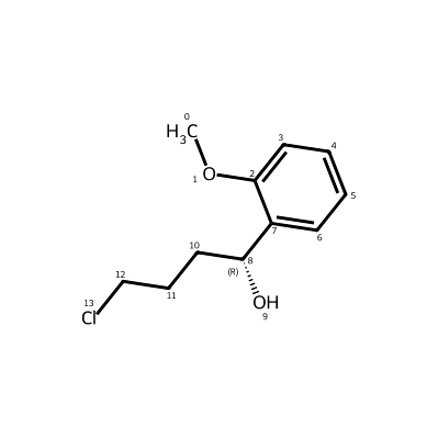 COc1ccccc1[C@H](O)CCCCl